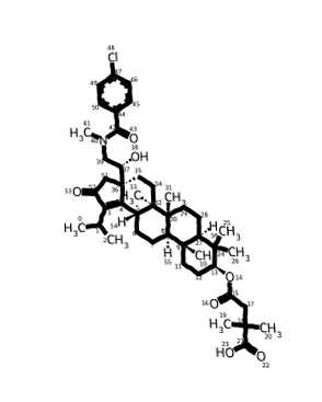 CC(C)C1=C2[C@H]3CC[C@@H]4[C@@]5(C)CC[C@H](OC(=O)CC(C)(C)C(=O)O)C(C)(C)[C@@H]5CC[C@@]4(C)[C@]3(C)CC[C@@]2([C@@H](O)CN(C)C(=O)c2ccc(Cl)cc2)CC1=O